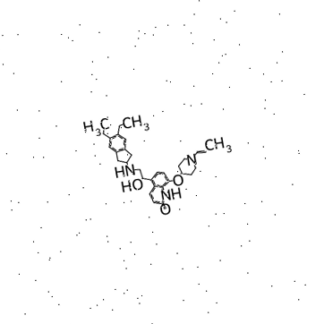 CC=CN1CCC(Oc2ccc([C@H](O)CNC3Cc4cc(CC)c(CC)cc4C3)c3ccc(=O)[nH]c23)CC1